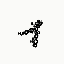 Cc1cc(CC(NC(=O)N2CCC(N3CCc4ccccc4NC3=O)CC2)C(=O)N2CCN(C3CCN(C)CC3)CC2)cc2cnn(C)c12